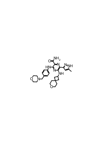 Cc1cc(-c2nc(C(N)=O)c(Nc3ccc(CN4CCOCC4)cc3)nc2NC2CC3(CCOCC3)C2)n[nH]1